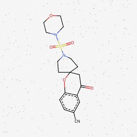 N#Cc1ccc2c(c1)C(=O)CC1(CCN(S(=O)(=O)N3CCOCC3)CC1)O2